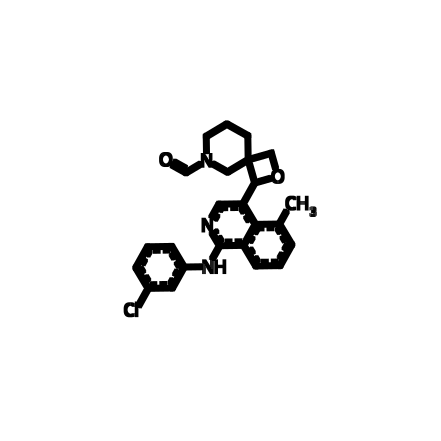 Cc1cccc2c(Nc3cccc(Cl)c3)ncc(C3OCC34CCCN(C=O)C4)c12